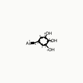 Oc1cc(C#[As])cc(O)c1O